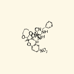 C[C@]1(C2OCCCO2)Oc2ccc([N+](=O)[O-])cc2[C@@H](NC(=NC#N)NCc2ccccc2)[C@@H]1O